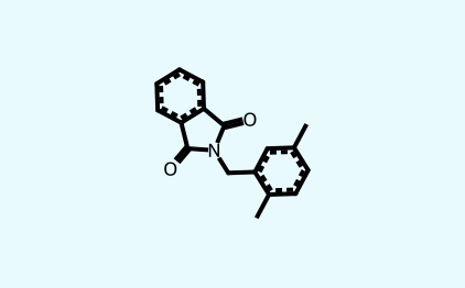 Cc1ccc(C)c(CN2C(=O)c3ccccc3C2=O)c1